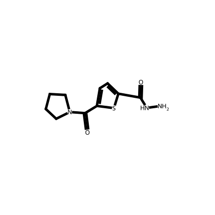 NNC(=O)c1ccc(C(=O)N2CCCC2)s1